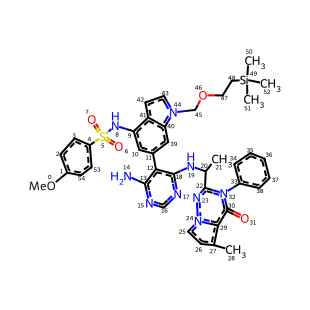 COc1ccc(S(=O)(=O)Nc2cc(-c3c(N)ncnc3NC(C)c3nn4ccc(C)c4c(=O)n3-c3ccccc3)cc3c2ccn3COCC[Si](C)(C)C)cc1